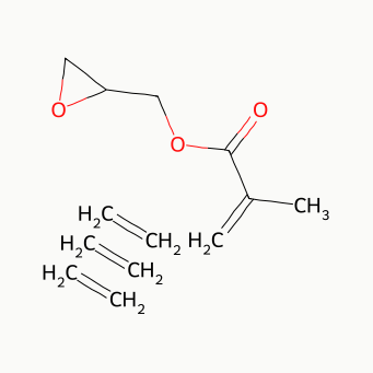 C=C.C=C.C=C.C=C(C)C(=O)OCC1CO1